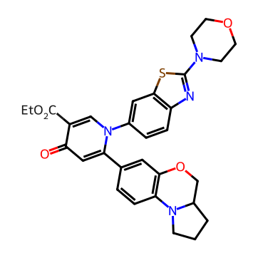 CCOC(=O)c1cn(-c2ccc3nc(N4CCOCC4)sc3c2)c(-c2ccc3c(c2)OCC2CCCN32)cc1=O